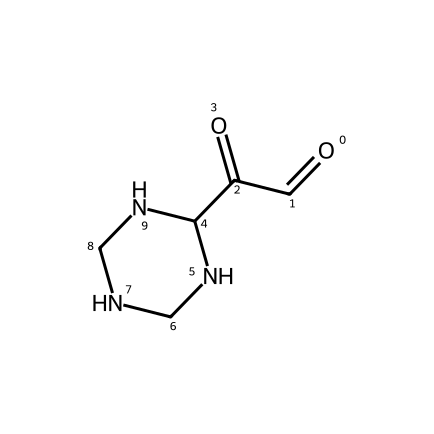 O=CC(=O)C1NCNCN1